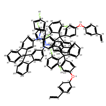 C=CC1=CCC(Oc2ccc(C3(c4c(F)cccc4F)c4ccccc4-c4ccc(N(c5ccc(F)cc5)c5ccc6c(c5)C5(c7ccccc7-c7ccc(N(c8ccc(F)cc8)c8ccc9c(c8)C(c8ccc(Oc%10ccc(C=C)cc%10)cc8)(c8c(F)cccc8F)c8ccccc8-9)cc75)c5ccccc5-6)cc43)cc2)C=C1